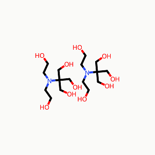 OCCN(CCO)C(CO)(CO)CO.OCCN(CCO)C(CO)(CO)CO